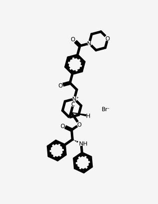 O=C(C[N+]12CCC(CC1)[C@@H](OC(=O)[C@H](Nc1ccccc1)c1ccccc1)C2)c1ccc(C(=O)N2CCOCC2)cc1.[Br-]